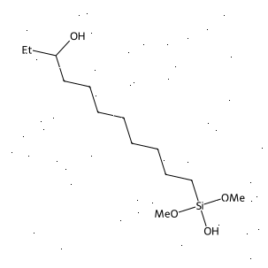 CCC(O)CCCCCCCC[Si](O)(OC)OC